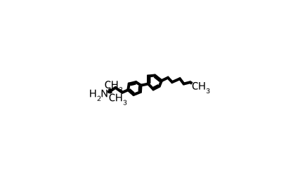 CCCCCCc1ccc(-c2ccc(CCC(C)(C)N)cc2)cc1